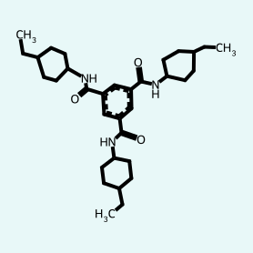 CCC1CCC(NC(=O)c2cc(C(=O)NC3CCC(CC)CC3)cc(C(=O)NC3CCC(CC)CC3)c2)CC1